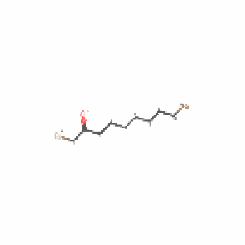 O=C(CBr)CCCCCCCBr